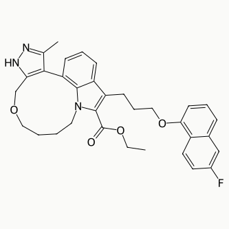 CCOC(=O)c1c(CCCOc2cccc3cc(F)ccc23)c2cccc3c2n1CCCCOCc1[nH]nc(C)c1-3